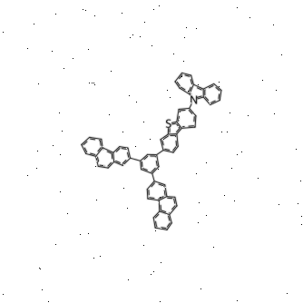 c1ccc2c(c1)ccc1cc(-c3cc(-c4ccc5c(ccc6ccccc65)c4)cc(-c4ccc5c(c4)sc4cc(-n6c7ccccc7c7ccccc76)ccc45)c3)ccc12